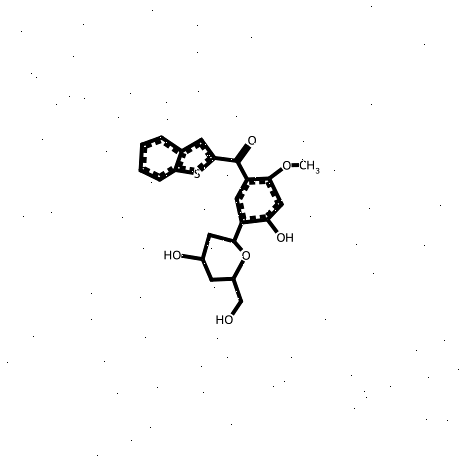 COc1cc(O)c(C2CC(O)CC(CO)O2)cc1C(=O)c1cc2ccccc2s1